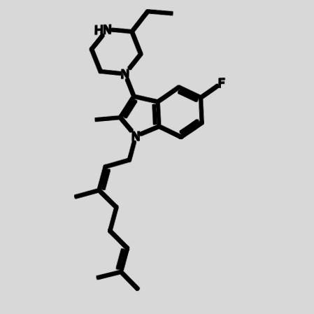 CCC1CN(c2c(C)n(CC=C(C)CCC=C(C)C)c3ccc(F)cc23)CCN1